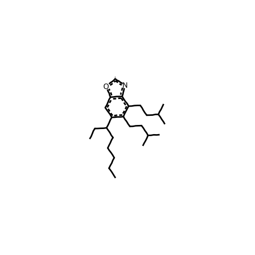 CCCCCC(CC)c1cc2o[c]nc2c(CCC(C)C)c1CCC(C)C